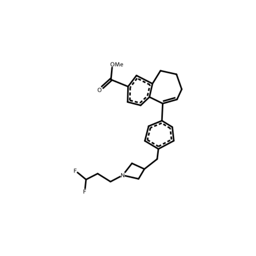 COC(=O)c1ccc2c(c1)CCCC=C2c1ccc(CC2CN(CCC(F)F)C2)cc1